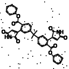 CC(C)(c1ccc(C(=O)Oc2ccccc2)c(C2=CC(=O)NC2=O)c1)c1ccc(C(=O)Oc2ccccc2)c(C2=CC(=O)NC2=O)c1